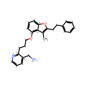 Cc1c(CCc2ccccc2)oc2cccc(OCCCc3ncccc3CN)c12